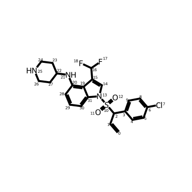 C=CC(c1ccc(Cl)cc1)S(=O)(=O)n1cc(C(F)F)c2c(NC3CCNCC3)cccc21